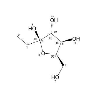 CC[C@@]1(O)O[C@H](CO)[C@H](O)[C@H]1O